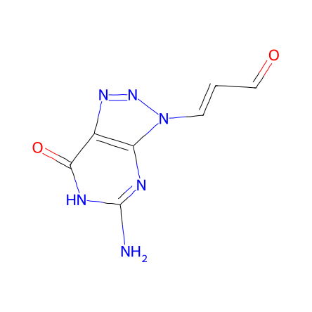 Nc1nc2c(nnn2C=CC=O)c(=O)[nH]1